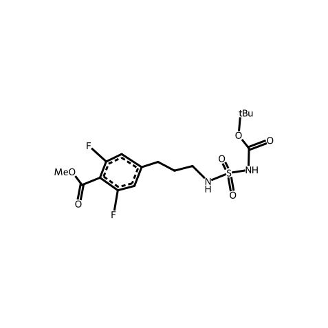 COC(=O)c1c(F)cc(CCCNS(=O)(=O)NC(=O)OC(C)(C)C)cc1F